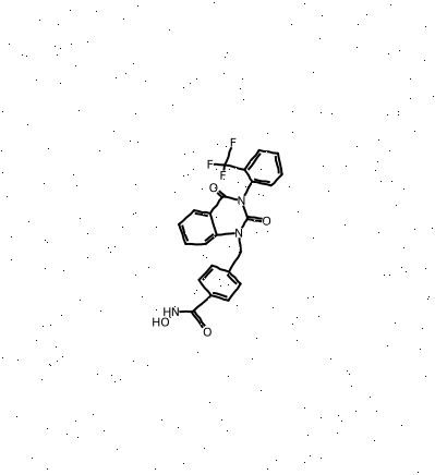 O=C(NO)c1ccc(Cn2c(=O)n(-c3ccccc3C(F)(F)F)c(=O)c3ccccc32)cc1